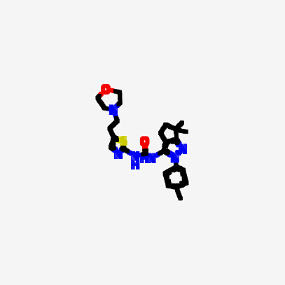 Cc1ccc(-n2nc3c(c2NC(=O)Nc2ncc(CCN4CCOCC4)s2)CCC3(C)C)cc1